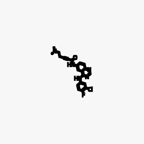 CN(C)CCC#CC(=O)Nc1ccc2ncnc(Nc3ccc(F)c(Cl)c3)c2c1